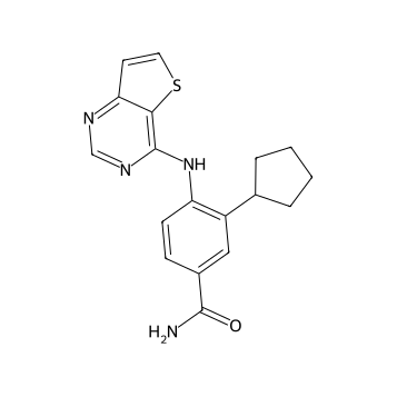 NC(=O)c1ccc(Nc2ncnc3ccsc23)c(C2CCCC2)c1